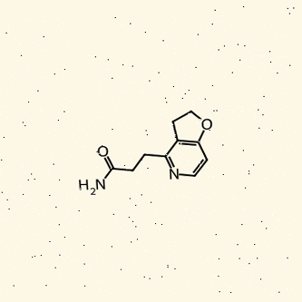 NC(=O)CCc1nccc2c1CCO2